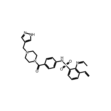 C=Cc1cccc(S(=O)(=O)Nc2ccc(C(=O)N3CCN(Cc4cn[nH]c4)CC3)cc2)c1/N=C\C